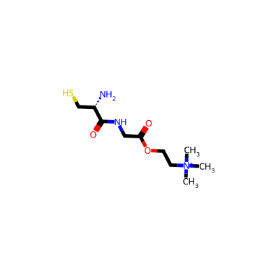 C[N+](C)(C)CCOC(=O)CNC(=O)[C@@H](N)CS